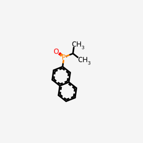 CC(C)[P](=O)c1ccc2ccccc2c1